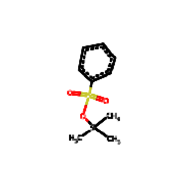 C[Si](C)(C)OS(=O)(=O)c1ccccc1